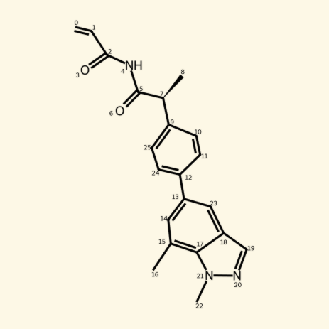 C=CC(=O)NC(=O)[C@@H](C)c1ccc(-c2cc(C)c3c(cnn3C)c2)cc1